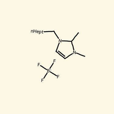 CCCCCCCCN1C=CN(C)C1C.F[B-](F)(F)F